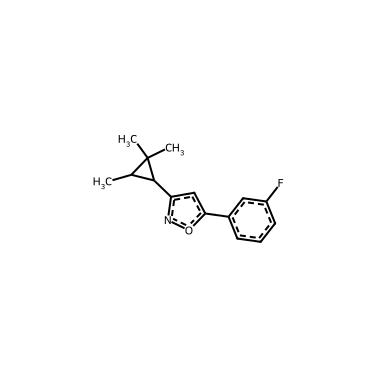 CC1C(c2cc(-c3cccc(F)c3)on2)C1(C)C